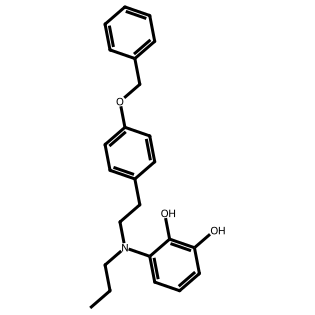 CCCN(CCc1ccc(OCc2ccccc2)cc1)c1cccc(O)c1O